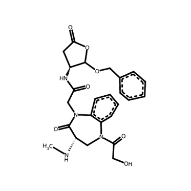 CN[C@H]1CN(C(=O)CO)c2ccccc2N(CC(=O)N[C@H]2CC(=O)OC2OCc2ccccc2)C1=O